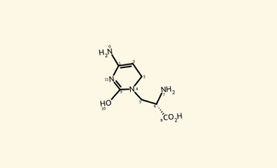 NC1=CCN(C[C@H](N)C(=O)O)C(O)=N1